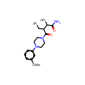 CCCC(C(N)=O)C(CC(C)C)C(=O)N1CCN(c2cccc(OC)c2)CC1